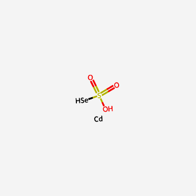 O=S(=O)(O)[SeH].[Cd]